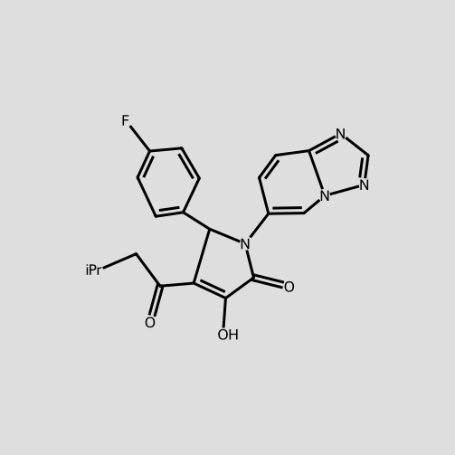 CC(C)CC(=O)C1=C(O)C(=O)N(c2ccc3ncnn3c2)C1c1ccc(F)cc1